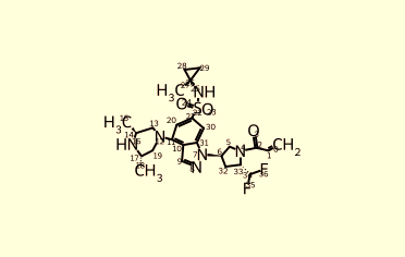 C=CC(=O)N1C[C@H](n2ncc3c(N4C[C@H](C)N[C@@H](C)C4)cc(S(=O)(=O)NC4(C)CC4)cc32)C[C@H]1C(F)F